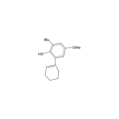 COc1cc(C2=CCCCC2)c(O)c(C(C)(C)C)c1